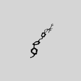 CCc1ccc(-c2ccc(CCc3ccc(OC(F)F)cc3)cc2)cc1